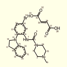 CN1CCN(C(=O)Nc2cc(Br)ccc2N2CCc3ccccc32)CC1.O=C(O)C=CC(=O)O